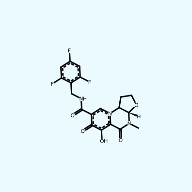 CN1C(=O)c2c(O)c(=O)c(C(=O)NCc3c(F)cc(F)cc3F)cn2C2CCO[C@@H]21